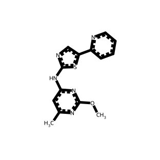 COc1nc(C)cc(Nc2ncc(-c3ccccn3)s2)n1